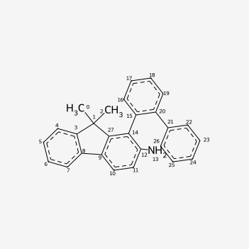 CC1(C)c2ccccc2-c2ccc(N)c(-c3ccccc3-c3ccccc3)c21